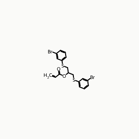 C=CC(=O)OC(CSc1cccc(Br)c1)CSc1cccc(Br)c1